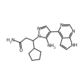 NC(=O)CC(C1CCCC1)n1ncc(-c2ncnc3[nH]ccc23)c1N